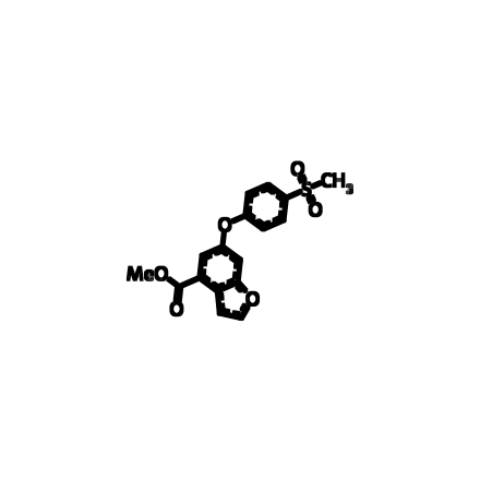 COC(=O)c1cc(Oc2ccc(S(C)(=O)=O)cc2)cc2occc12